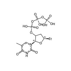 CC[C@@H]1CC(OP(=O)(O)OP(=O)(O)OP(=O)(O)O)[C@H](n2cc(C)c(=O)[nH]c2=O)O1